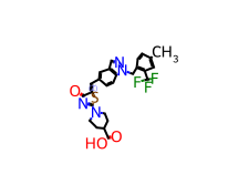 Cc1ccc(Cn2ncc3cc(/C=C4\SC(N5CCC(C(=O)O)CC5)=NC4=O)ccc32)c(C(F)(F)F)c1